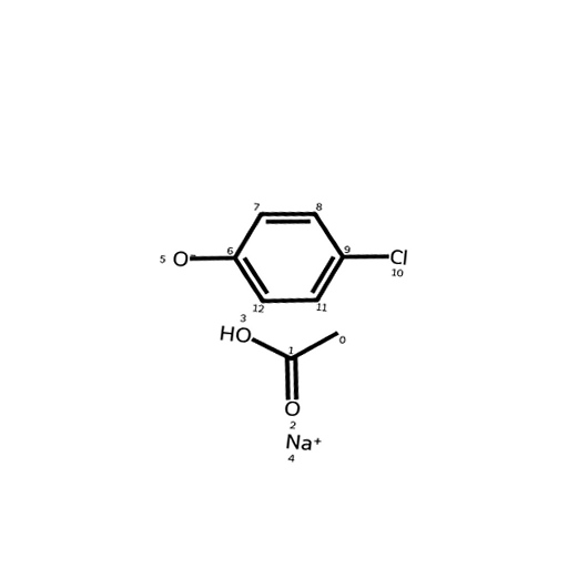 CC(=O)O.[Na+].[O-]c1ccc(Cl)cc1